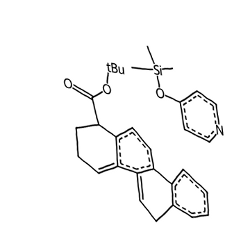 CC(C)(C)OC(=O)C1CCC=c2c1ccc1c2=CCc2ccccc2-1.C[Si](C)(C)Oc1ccncc1